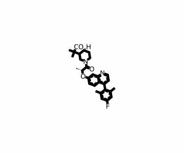 Cc1cc(F)cc(C)c1-c1ccnc2cc(O[C@H](C)C(=O)N3CCCC(C(C)(C)C(=O)O)C3)ccc12